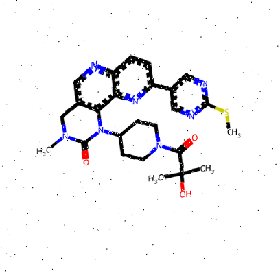 CSc1ncc(-c2ccc3ncc4c(c3n2)N(C2CCN(C(=O)C(C)(C)O)CC2)C(=O)N(C)C4)cn1